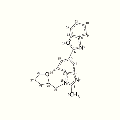 Cc1nc2cc(-c3nc4ccccc4o3)ccc2n1CC1CCCO1